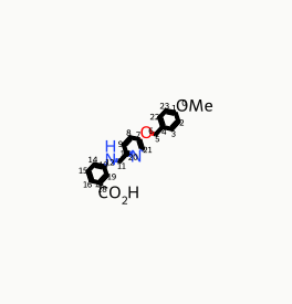 COc1ccc(COc2ccc(CNc3cccc(C(=O)O)c3)nc2)cc1